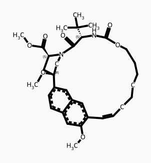 COC(=O)[C@@H]1C[C@]2(OC)CN1C(=O)[C@H](C(C)(C)C)NC(=O)OCCCCCCC=Cc1cc3cc2ccc3cc1OC